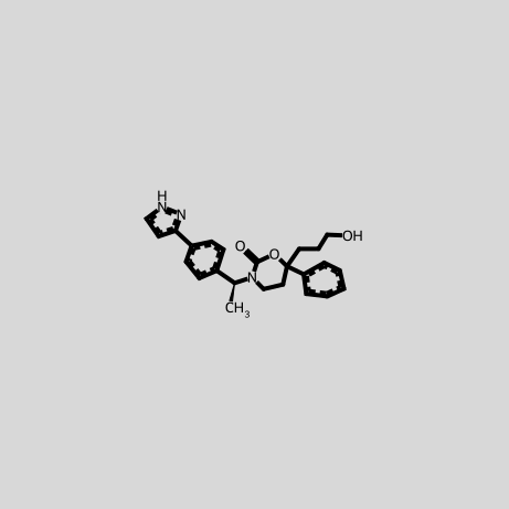 C[C@@H](c1ccc(-c2cc[nH]n2)cc1)N1CCC(CCCO)(c2ccccc2)OC1=O